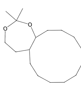 CC1(C)OCCC2CCCCCCCCCCC2O1